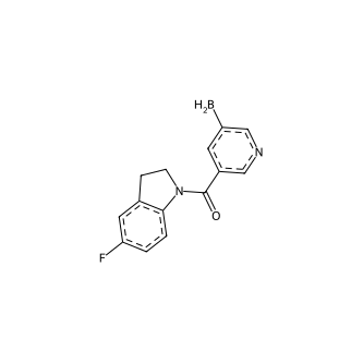 Bc1cncc(C(=O)N2CCc3cc(F)ccc32)c1